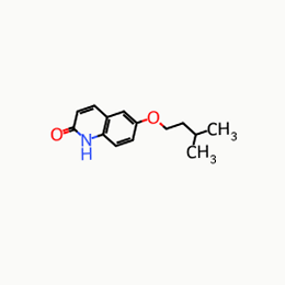 CC(C)CCOc1ccc2[nH]c(=O)ccc2c1